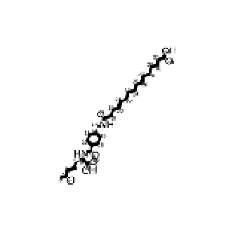 CC(=O)CCC[C@H](NC(=O)[C@H]1CC[C@H](CNC(=O)CCCCCCCCCCCCCCC(=O)O)CC1)C(=O)O